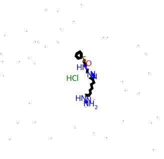 Cl.Nc1nc(CCCCCc2cn(CCNC(=O)CSc3ccccc3)nn2)c[nH]1